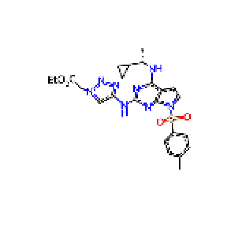 CCOC(=O)Cn1cc(Nc2nc(N[C@@H](C)C3CC3)c3ccn(S(=O)(=O)c4ccc(C)cc4)c3n2)nn1